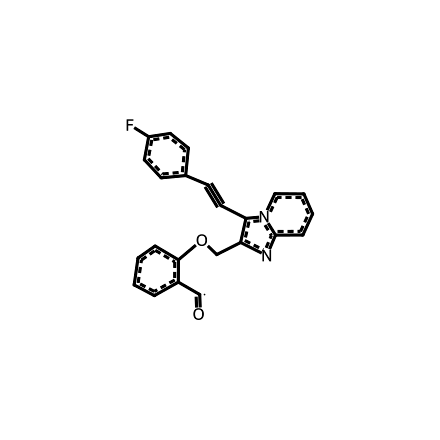 O=[C]c1ccccc1OCc1nc2ccccn2c1C#Cc1ccc(F)cc1